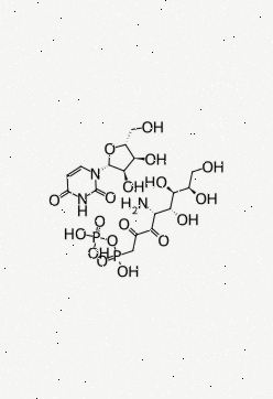 N[C@@H](C(=O)C(=O)CP(=O)(O)OP(=O)(O)O)[C@@H](O)[C@@H](O)[C@H](O)CO.O=c1ccn([C@@H]2O[C@H](CO)[C@@H](O)[C@H]2O)c(=O)[nH]1